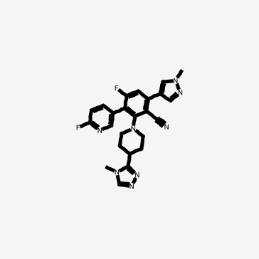 Cn1cc(-c2cc(F)c(-c3ccc(F)nc3)c(N3CCC(c4nncn4C)CC3)c2C#N)cn1